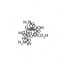 CC(C)[C@H](N)C(=O)NCC(=O)N[C@@H](CO)C(=O)N[C@@H](CC(N)=O)C(=O)N[C@H](C(=O)N1C[C@H](O)C[C@H]1C(=O)O)[C@@H](C)O